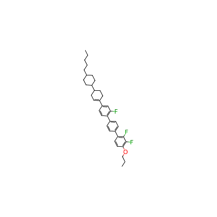 CCCCCC1CCC(C2CC=C(c3ccc(-c4ccc(-c5ccc(OCCC)c(F)c5F)cc4)c(F)c3)CC2)CC1